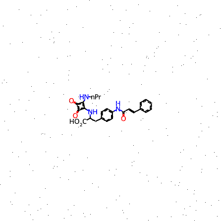 CCCNc1c(NC(Cc2ccc(NC(=O)C=Cc3ccccc3)cc2)C(=O)O)c(=O)c1=O